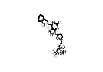 O=P(O)(O)CP(=O)(O)OC[C@@H]1CC[C@H](n2nnc3c(NCc4ccccc4Cl)nc(Cl)nc32)O1